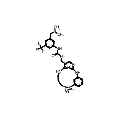 CN(C)Cc1cc(NC(=O)NCc2cnc3nc2NCCCNS(=O)(=O)c2cccc(c2)N3)cc(C(F)(F)F)c1